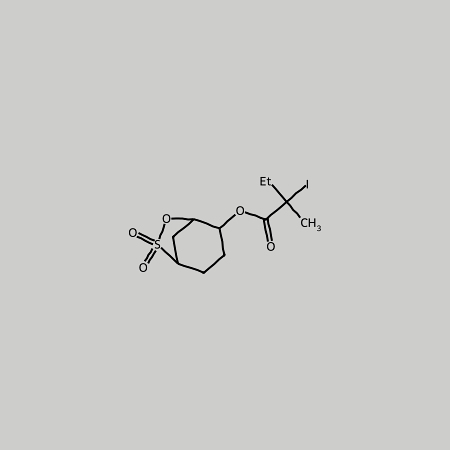 CCC(C)(I)C(=O)OC1CCC2CC1OS2(=O)=O